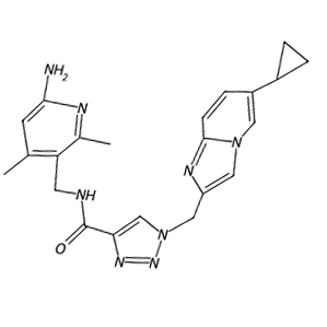 Cc1cc(N)nc(C)c1CNC(=O)c1cn(Cc2cn3cc(C4CC4)ccc3n2)nn1